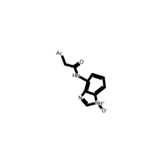 CC(=O)CC(=O)Nc1cccc2c1N=C[NH+]2[O-]